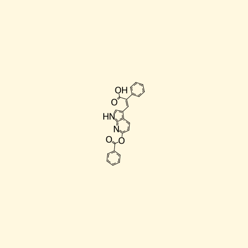 O=C(O)C(=Cc1c[nH]c2nc(OC(=O)c3ccccc3)ccc12)c1ccccc1